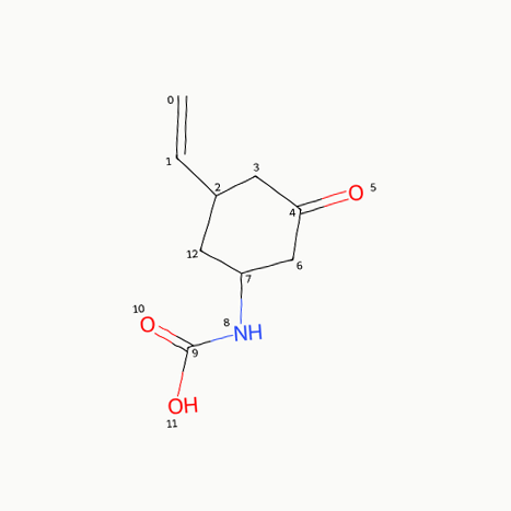 C=CC1CC(=O)CC(NC(=O)O)C1